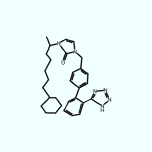 CC(CCCCCC1CCCCC1)n1ccn(Cc2ccc(-c3ccccc3-c3nnn[nH]3)cc2)c1=O